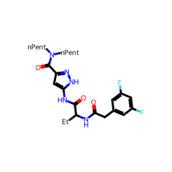 CCCCCN(CCCCC)C(=O)c1cc(NC(=O)C(CC)NC(=O)Cc2cc(F)cc(F)c2)[nH]n1